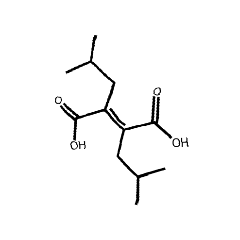 CC(C)CC(C(=O)O)=C(CC(C)C)C(=O)O